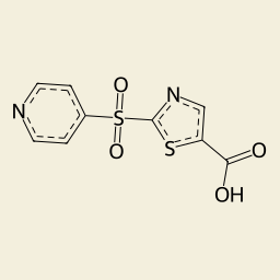 O=C(O)c1cnc(S(=O)(=O)c2ccncc2)s1